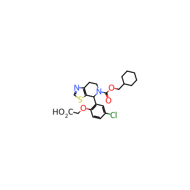 O=C(O)COc1ccc(Cl)cc1C1c2scnc2CCN1C(=O)OCC1CCCCC1